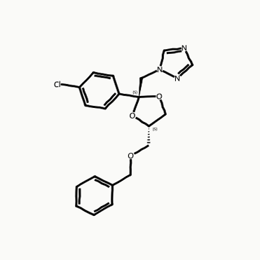 Clc1ccc([C@]2(Cn3cncn3)OC[C@H](COCc3ccccc3)O2)cc1